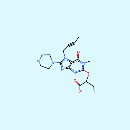 CC#CCn1c(N2CCNCC2)nc2nc(OC(CC)C(=O)O)n(C)c(=O)c21